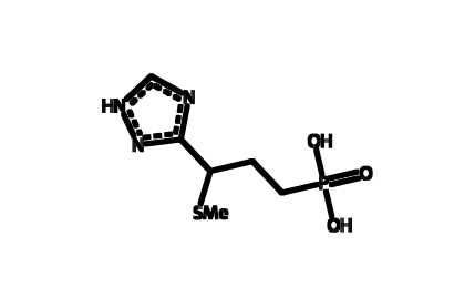 CSC(CCP(=O)(O)O)c1nc[nH]n1